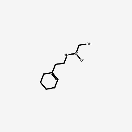 [O-][S+](CO)NCCC1=CCCCC1